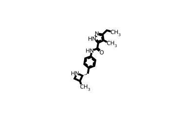 CCc1n[nH]c(C(=O)Nc2ccc(C[C@H]3NCC3C)cc2)c1C